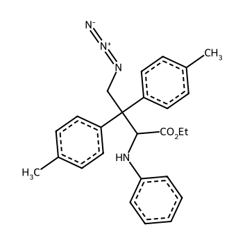 CCOC(=O)C(Nc1ccccc1)C(CN=[N+]=[N-])(c1ccc(C)cc1)c1ccc(C)cc1